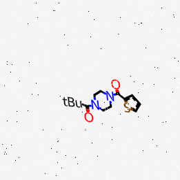 CC(C)(C)C(=O)N1CCN(C(=O)c2cccs2)CC1